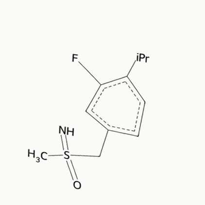 CC(C)c1ccc(CS(C)(=N)=O)cc1F